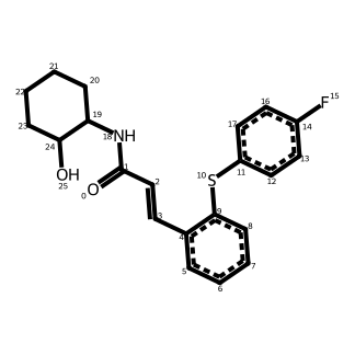 O=C(C=Cc1ccccc1Sc1ccc(F)cc1)NC1CCCCC1O